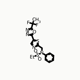 CCS(=O)(=O)N(Cc1ncc(-c2nnc(C(C)(F)F)o2)s1)c1ccccc1